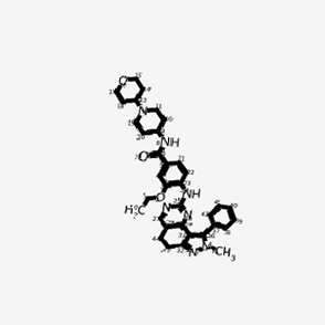 CCOc1cc(C(=O)NC2CCN(C3CCOCC3)CC2)ccc1Nc1ncc2c(n1)-c1c(nn(C)c1-c1ccccc1)CC2